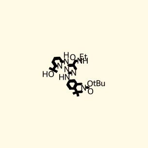 CCNC(=O)c1cnc(Nc2ccc3c(c2)CN(C(=O)OC(C)(C)C)CC3(C)C)nc1Nc1cccc(C(C)(C)O)n1